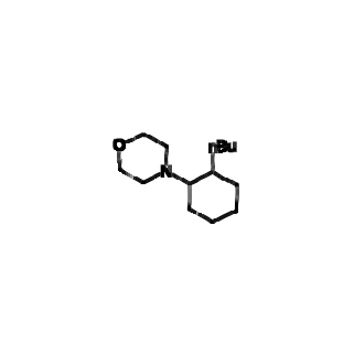 CCCCC1CCCCC1N1CCOCC1